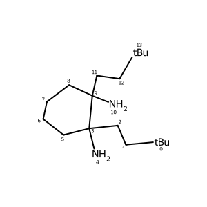 CC(C)(C)CCC1(N)CCCCC1(N)CCC(C)(C)C